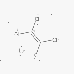 ClC(Cl)=C(Cl)Cl.[La]